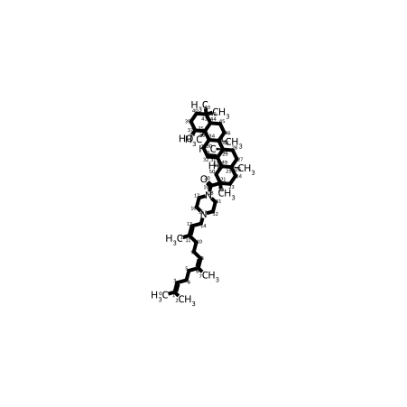 CC(C)=CCCC(C)=CCCC(C)=CCN1CCN(C(=O)C2(C)CC[C@]3(C)CC[C@]4(C)C(=CCC5[C@@]6(C)C(O)CCC(C)(C)C6CC[C@]54C)[C@@H]3C2)CC1